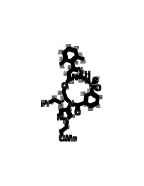 COCCn1cc(N2C(=O)c3cccc(c3)S(=O)(=O)Nc3nc(cc(-c4c(C)cccc4C)n3)OC[C@H]2CCC(C)C)cn1